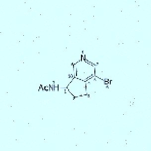 CC(=O)NC1CCc2c(Br)cncc21